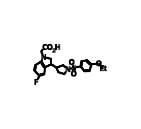 CCOc1ccc(S(=O)(=O)N2CCC(C3CN(CC(=O)O)c4ccc(F)cc43)C2)cc1